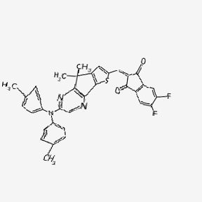 Cc1ccc(N(c2ccc(C)cc2)c2cnc3c(n2)C(C)(C)c2cc(C=C4C(=O)c5cc(F)c(F)cc5C4=O)sc2-3)cc1